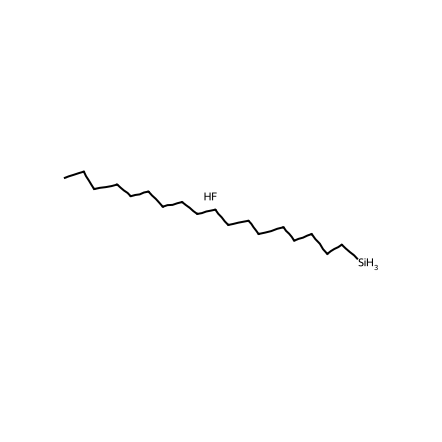 CCCCCCCCCCCCCCCCCC[SiH3].F